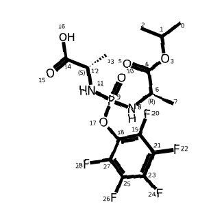 CC(C)OC(=O)[C@@H](C)NP(=O)(N[C@@H](C)C(=O)O)Oc1c(F)c(F)c(F)c(F)c1F